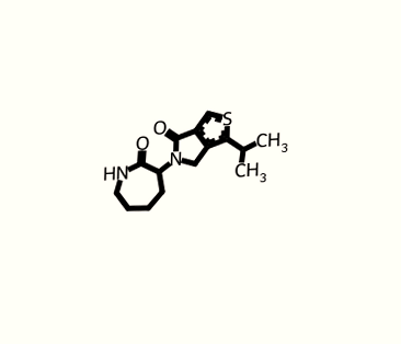 CC(C)c1scc2c1CN(C1CCCCNC1=O)C2=O